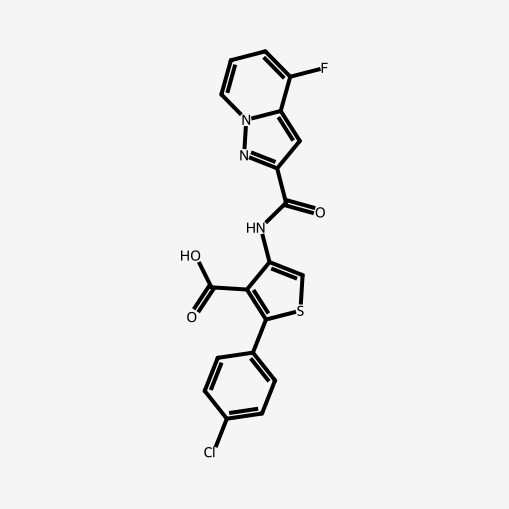 O=C(Nc1csc(-c2ccc(Cl)cc2)c1C(=O)O)c1cc2c(F)cccn2n1